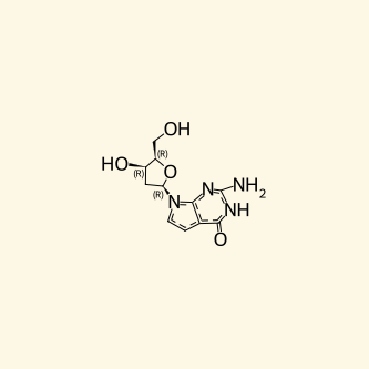 Nc1nc2c(ccn2[C@H]2C[C@@H](O)[C@@H](CO)O2)c(=O)[nH]1